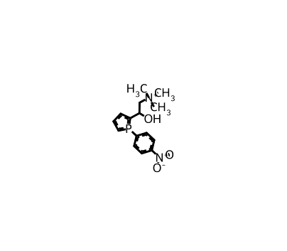 C[N+](C)(C)CC(O)c1cccp1-c1ccc([N+](=O)[O-])cc1